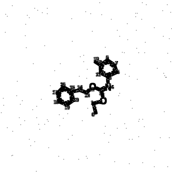 CCOC(=Nc1cccc(C)c1)OCCc1ccccc1